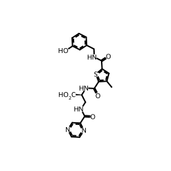 Cc1cc(C(=O)NCc2cccc(O)c2)sc1C(=O)N[C@@H](CNC(=O)c1cnccn1)C(=O)O